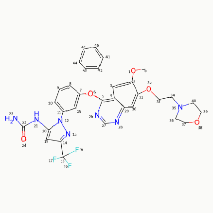 COc1cc2c(Oc3cccc(-n4nc(C(F)(F)F)cc4NC(N)=O)c3)ncnc2cc1OCCN1CCOCC1.c1ccccc1